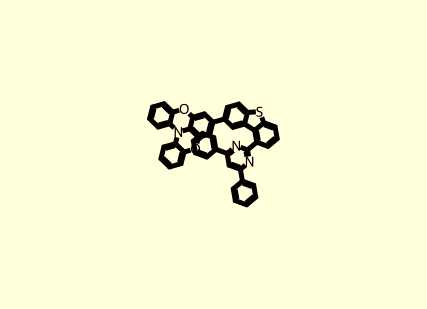 c1ccc(-c2cc(-c3ccccc3)nc(-c3cccc4sc5ccc(-c6cc7c8c(c6)Oc6ccccc6N8c6ccccc6O7)cc5c34)n2)cc1